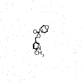 Cc1ccc(COC(=O)N2CCOCC2)cn1